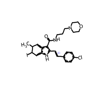 CC1C=c2c(C(=O)NCCCN3CCOCC3)c(/C=C/c3ccc(Cl)cc3)[nH]c2=CC1I